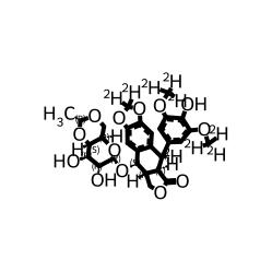 [2H]C([2H])([2H])Oc1cc([C@]2([2H])c3cc4c(cc3[C@@H](O[C@@H]3O[C@@H]5CO[C@@H](C)O[C@H]5[C@H](O)[C@H]3O)[C@H]3COC(=O)[C@@H]32)OC([2H])([2H])O4)cc(OC([2H])([2H])[2H])c1O